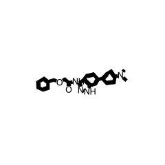 CN(C)c1ccc(-c2ccc3c(NC(=O)COCc4ccccc4)n[nH]c3c2)cc1